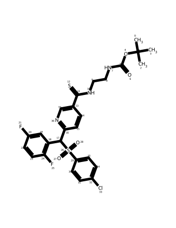 CC(C)(C)OC(=O)NCCNC(=S)c1ccc(C(c2cc(F)ccc2F)S(=O)(=O)c2ccc(Cl)cc2)nc1